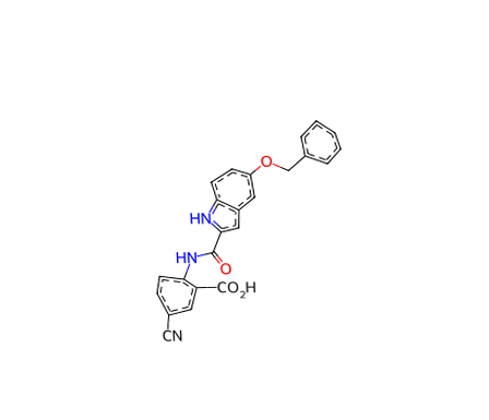 N#Cc1ccc(NC(=O)c2cc3cc(OCc4ccccc4)ccc3[nH]2)c(C(=O)O)c1